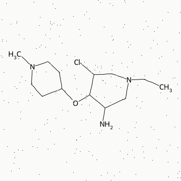 CCN1CC(N)C(OC2CCN(C)CC2)C(Cl)C1